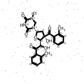 CCN1CN([C@@H]2C[C@@](O)(C(=O)c3ccccc3C)[C@@H](C(O)C(=O)c3ccccc3C)O2)C(=O)NC1=O